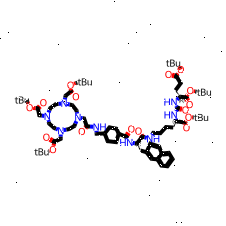 CC(C)(C)OC(=O)CC[C@@H](NC(=O)N[C@@H](CCCCNC(=O)[C@H](Cc1ccc2ccccc2c1)NC(=O)C1CCC(CNC(=O)CN2CCN(CC(=O)OC(C)(C)C)CCN(CC(=O)OC(C)(C)C)CCN(CC(=O)OC(C)(C)C)CC2)CC1)C(=O)OC(C)(C)C)C(=O)OC(C)(C)C